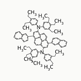 CCc1ccc(N(c2cc(CC)c(CC)c(CC)c2)c2cc(-c3ccc4ccccc4c3)c3ccc4c(N(c5ccc(CC)c(CC)c5)c5cc(CC)c(CC)c(CC)c5)cc(-c5ccc6ccccc6c5)c5ccc2c3c54)cc1CC